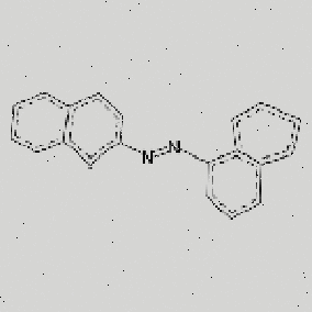 [c]1c(/N=N/c2cccc3ccccc23)ccc2ccccc12